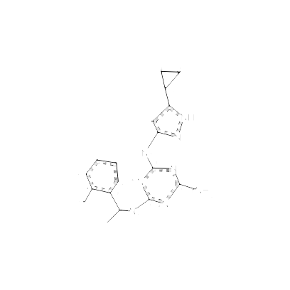 CC(Nc1nc(N)nc(Nc2cc(C3CC3)[nH]n2)n1)c1ccccc1Cl